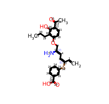 C=C/C(=C\C=C(/N)COc1ccc(C(C)=O)c(O)c1CCC)Sc1cccc(C(=O)O)c1